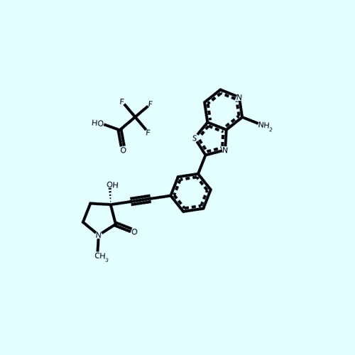 CN1CC[C@@](O)(C#Cc2cccc(-c3nc4c(N)nccc4s3)c2)C1=O.O=C(O)C(F)(F)F